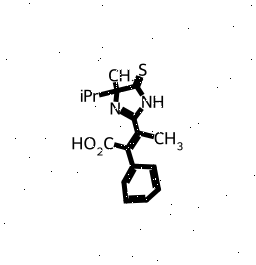 C/C(C1=NC(C)(C(C)C)C(=S)N1)=C(/C(=O)O)c1ccccc1